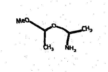 COC(C)OC(C)N